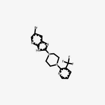 FC(F)(F)c1cccnc1N1CCN(c2nc3cc(Br)cnc3[nH]2)CC1